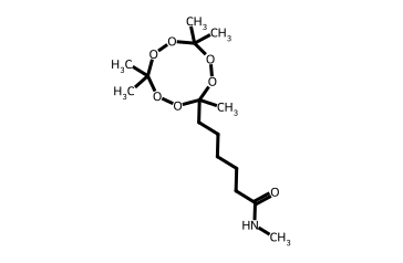 CNC(=O)CCCCCC1(C)OOC(C)(C)OOC(C)(C)OO1